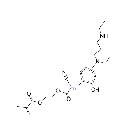 C=C(C)C(=O)OCCOC(=O)/C(C#N)=C/c1ccc(N(CCC)CCCNCC)cc1O